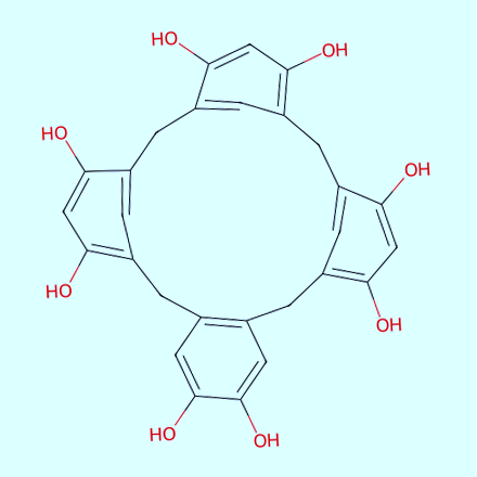 Oc1cc2c(cc1O)Cc1cc(c(O)cc1O)Cc1cc(c(O)cc1O)Cc1cc(c(O)cc1O)C2